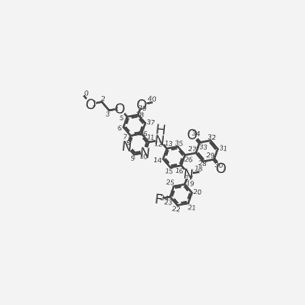 COCCOc1cc2ncnc(Nc3ccc(N(C)c4cccc(F)c4)c(C4=CC(=O)C=CC4=O)c3)c2cc1OC